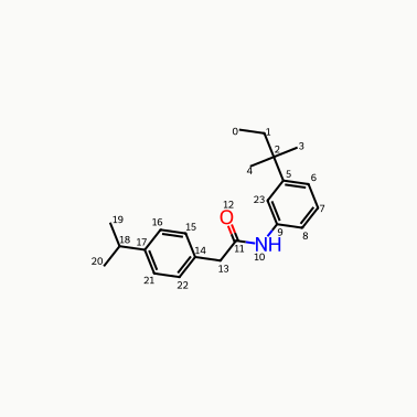 CCC(C)(C)c1cccc(NC(=O)Cc2ccc(C(C)C)cc2)c1